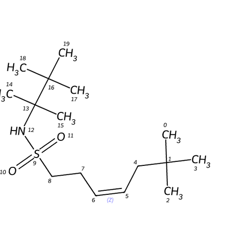 CC(C)(C)C/C=C\CCS(=O)(=O)NC(C)(C)C(C)(C)C